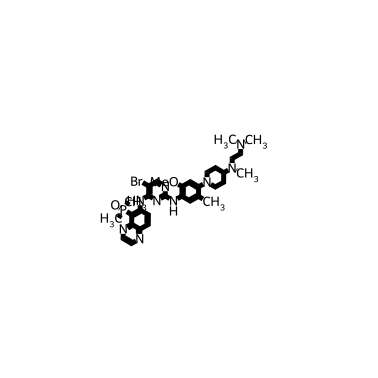 COc1cc(N2CCC(N(C)CCN(C)C)CC2)c(C)cc1Nc1ncc(Br)c(Nc2ccc3nccnc3c2P(C)(C)=O)n1